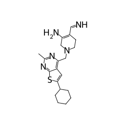 Cc1nc(CN2CCC(C=N)=C(N)C2)c2cc(C3CCCCC3)sc2n1